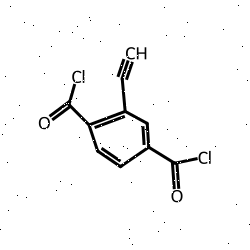 C#Cc1cc(C(=O)Cl)ccc1C(=O)Cl